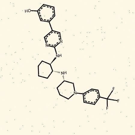 Oc1cccc(-c2cnc(N[C@@H]3CCCC[C@H]3N[C@H]3CCCN(c4ccc(C(F)(F)F)cc4)C3)nc2)c1